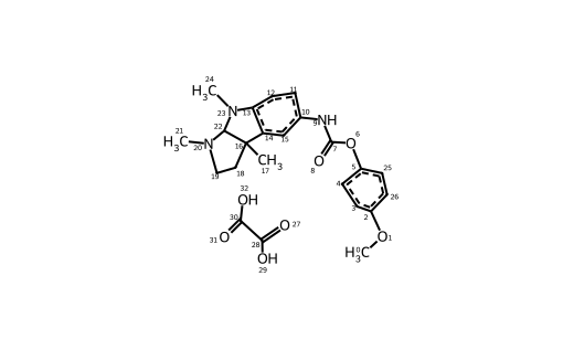 COc1ccc(OC(=O)Nc2ccc3c(c2)C2(C)CCN(C)C2N3C)cc1.O=C(O)C(=O)O